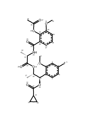 COc1cc(F)ccc1[C@@H](OC(=O)C1CC1)[C@H](C)OC(=O)[C@H](C)NC(=O)c1nccc(OC)c1OC(C)=O